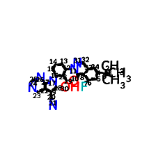 CC(C)(C)c1cc(F)c2c(=O)n(-c3cccc(-n4cc(C#N)c5cncnc54)c3CO)ncc2c1